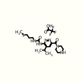 CSCCCNC(=O)Nc1nnc(C(=O)N2CCNCC2)cc1C(C)C.O=C(O)C(F)(F)F